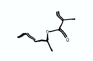 C=C(C)C(=O)OC(C)/C=C/C